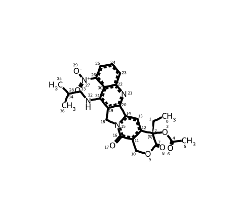 CC[C@@]1(OC(C)=O)C(=O)OCc2c1cc1n(c2=O)Cc2c-1nc1cccc([N+](=O)[O-])c1c2NCC(C)C